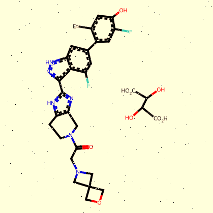 CCc1cc(O)c(F)cc1-c1cc(F)c2c(-c3nc4c([nH]3)CCN(C(=O)CN3CC5(COC5)C3)C4)n[nH]c2c1.O=C(O)C(O)C(O)C(=O)O